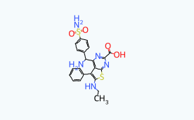 CCNc1sc2nc(C(=O)O)nc(C(N)c3ccc(S(N)(=O)=O)cc3)c2c1-c1ccccc1